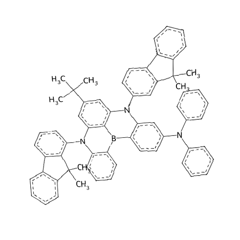 CC(C)(C)c1cc2c3c(c1)N(c1cccc4c1C(C)(C)c1ccccc1-4)c1ccccc1B3c1ccc(N(c3ccccc3)c3ccccc3)cc1N2c1ccc2c(c1)C(C)(C)c1ccccc1-2